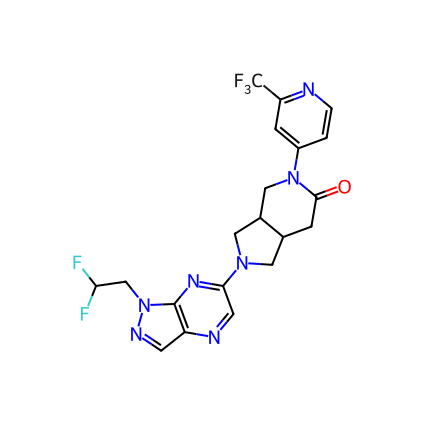 O=C1CC2CN(c3cnc4cnn(CC(F)F)c4n3)CC2CN1c1ccnc(C(F)(F)F)c1